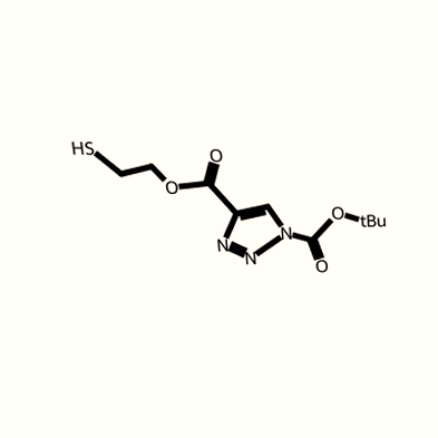 CC(C)(C)OC(=O)n1cc(C(=O)OCCS)nn1